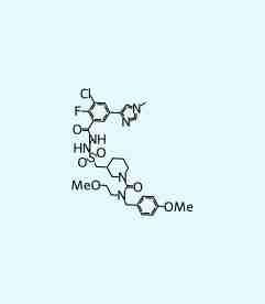 COCCN(Cc1ccc(OC)cc1)C(=O)N1CCCC(CS(=O)(=O)NNC(=O)c2cc(-c3cn(C)cn3)cc(Cl)c2F)C1